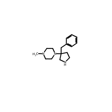 CN1CCN(C2(Cc3ccccc3)CCNC2)CC1